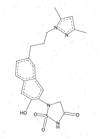 Cc1cc(C)n(CCCc2ccc3cc(O)c(N4CC(=O)NS4(=O)=O)cc3c2)n1